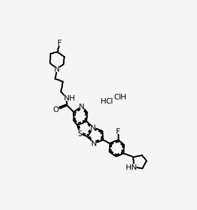 Cl.Cl.O=C(NCCCN1CCC(F)CC1)c1cc2sc3nc(-c4ccc(C5CCCN5)cc4F)cn3c2cn1